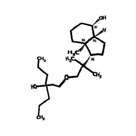 CCCC(O)(CCC)COCC(C)(C)[C@H]1CC[C@@H]2[C@@H](O)CCC[C@@]21C